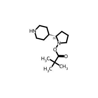 CC(C)(C)C(=O)ON1CCC[C@H]1C1CCNCC1